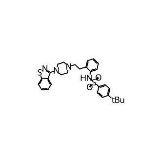 CC(C)(C)c1ccc(S(=O)(=O)Nc2ccccc2CCN2CCN(c3nsc4ccccc34)CC2)cc1